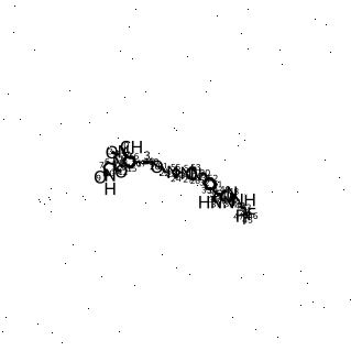 Cn1c(=O)n([C@H]2CCC(=O)NC2=O)c2ccc(C#CCOCCN3CC(N4CCN(Cc5ccc(-c6c[nH]c7nc(NCCC(F)(F)F)ncc67)cc5)CC4)C3)cc21